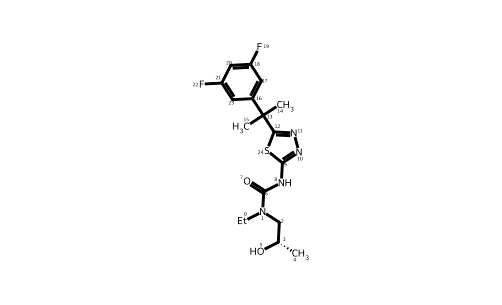 CCN(C[C@H](C)O)C(=O)Nc1nnc(C(C)(C)c2cc(F)cc(F)c2)s1